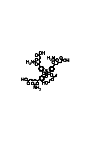 C=CC(=O)OCCO.NC(=O)OC(CC=CC(=O)O)c1ccc(OP(=S)(Oc2ccc(C(CC=CC(=O)O)OC(N)=O)cc2)Oc2ccc(C(CC=CC(=O)O)OC(N)=O)cc2)cc1